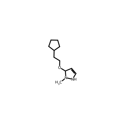 CN1NC=CC1OCCC1CCCC1